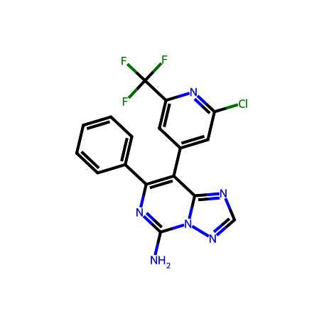 Nc1nc(-c2ccccc2)c(-c2cc(Cl)nc(C(F)(F)F)c2)c2ncnn12